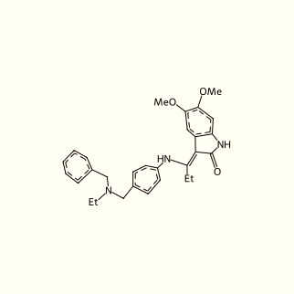 CCC(Nc1ccc(CN(CC)Cc2ccccc2)cc1)=C1C(=O)Nc2cc(OC)c(OC)cc21